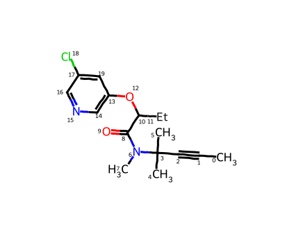 CC#CC(C)(C)N(C)C(=O)C(CC)Oc1cncc(Cl)c1